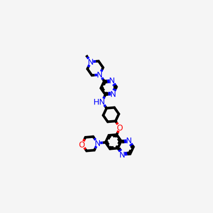 CN1CCN(c2cc(NC3CCC(Oc4cc(N5CCOCC5)cc5nccnc45)CC3)ncn2)CC1